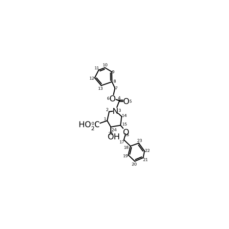 O=C(O)C1CN(C(=O)OCc2ccccc2)CC(OCc2ccccc2)C1O